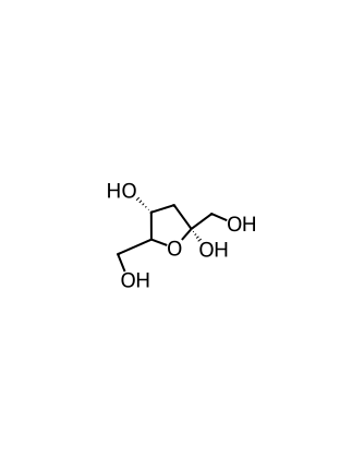 OCC1O[C@](O)(CO)C[C@H]1O